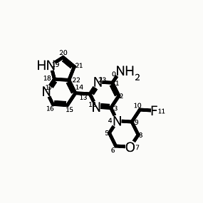 Nc1cc(N2CCOCC2CF)nc(-c2ccnc3[nH]ccc23)n1